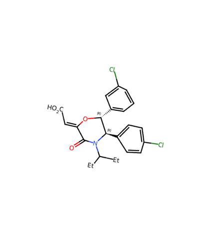 CCC(CC)N1C(=O)C(=CC(=O)O)O[C@H](c2cccc(Cl)c2)[C@H]1c1ccc(Cl)cc1